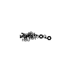 C=NN/C(=C\C)NC(=O)C(=O)[C@H](CCCC)NC(=O)O[C@H](COc1ccc(OCc2ccccc2)cc1)C(C)(C)C